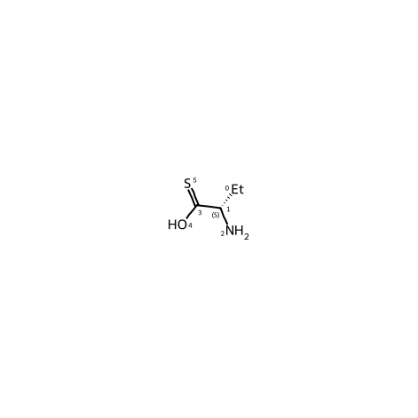 CC[C@H](N)C(O)=S